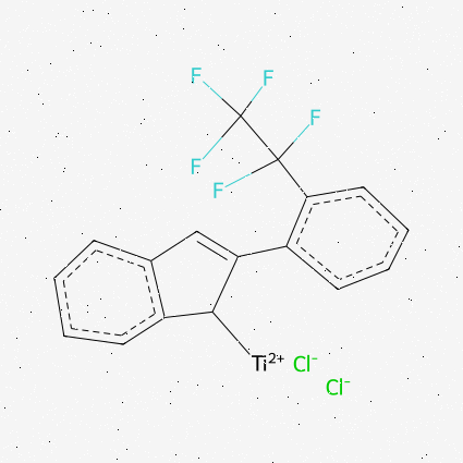 FC(F)(F)C(F)(F)c1ccccc1C1=Cc2ccccc2[CH]1[Ti+2].[Cl-].[Cl-]